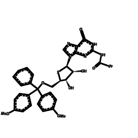 COc1ccc(C(OC[C@H]2S[C@@H](n3cnc4c(=O)[nH]c(NC(=O)C(C)C)nc43)[C@H](O)[C@@H]2O)(c2ccccc2)c2ccc(OC)cc2)cc1